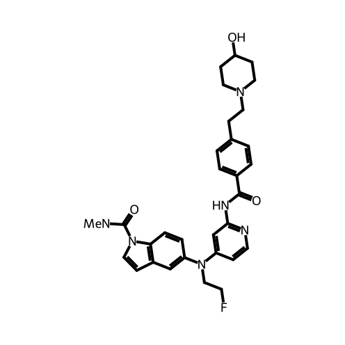 CNC(=O)n1ccc2cc(N(CCF)c3ccnc(NC(=O)c4ccc(CCN5CCC(O)CC5)cc4)c3)ccc21